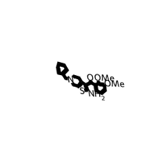 COc1cccc(C(=O)c2c(N)sc3c2CCN(Cc2ccccc2)C3)c1OC